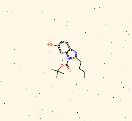 CCCCc1nc2ccc(O)cc2n1C(=O)OC(C)(C)C